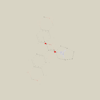 CCOC(=O)N1C2CCC1CC(=C(c1ccc3c(c1)COCO3)c1ccc3c(c1)COCO3)C2